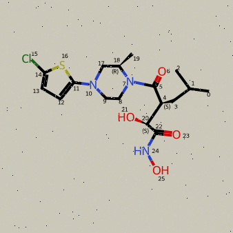 CC(C)C[C@H](C(=O)N1CCN(c2ccc(Cl)s2)C[C@H]1C)[C@H](O)C(=O)NO